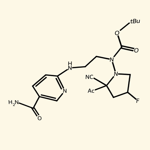 CC(=O)C1(C#N)CC(F)CN1N(CCNc1ccc(C(N)=O)cn1)C(=O)OC(C)(C)C